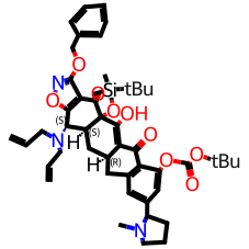 C=CCN(CC=C)[C@@H]1c2onc(OCc3ccccc3)c2C(=O)C2(O[Si](C)(C)C(C)(C)C)C(O)=C3C(=O)c4c(cc(C5CCCN5C)cc4OC(=O)OC(C)(C)C)C[C@H]3C[C@@H]12